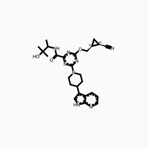 CC(NC(=O)c1nc(OC[C@H]2C[C@H]2C#N)nc(N2CCC(c3c[nH]c4ncccc34)CC2)n1)C(C)(C)O